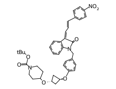 CC(C)(C)OC(=O)N1CCC(O[C@H]2C[C@H](Oc3ccc(CN4C(=O)C(=CC=Cc5ccc([N+](=O)[O-])cc5)c5ccccc54)cc3)C2)CC1